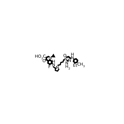 CCc1cc(Nc2cc(=O)n(CCCCCN3CCCC3CNc3cc4c(cc3F)c(=O)c(C(=O)O)cn4C3CC3)c(N)n2)ccc1C